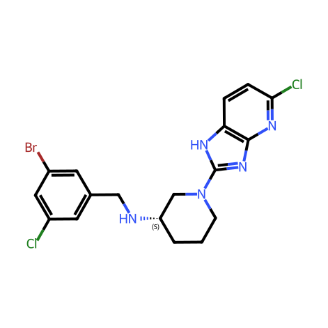 Clc1cc(Br)cc(CN[C@H]2CCCN(c3nc4nc(Cl)ccc4[nH]3)C2)c1